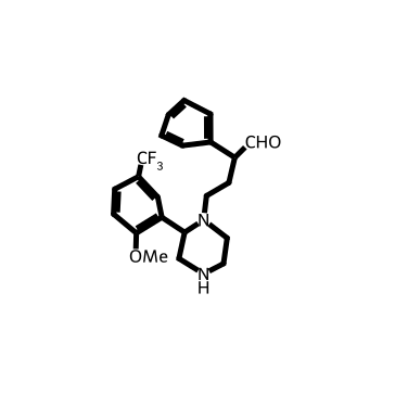 COc1ccc(C(F)(F)F)cc1C1CNCCN1CCC(C=O)c1ccccc1